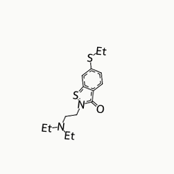 CCSc1ccc2c(=O)n(CCN(CC)CC)sc2c1